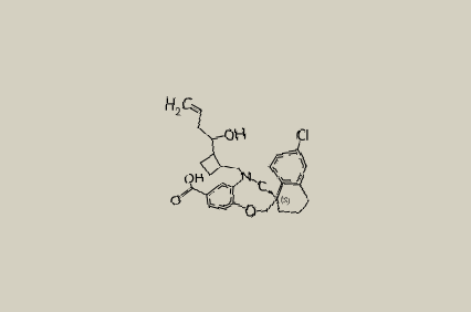 C=CCC(O)C1CCC1CN1C[C@@]2(CCCc3cc(Cl)ccc32)COc2ccc(C(=O)O)cc21